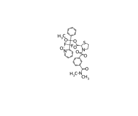 COC(OC(=O)[C@H]1SCCN1S(=O)(=O)c1cccc(C(=O)N(C)C)c1)(c1ccccc1)C(F)(F)c1cccc[n+]1[O-]